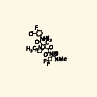 CNC(=O)C1(NC(=O)C(=O)c2c(C)c(C(=O)Nc3ccc(F)c(Cl)c3)n3c2CC[C@H]3C)CC(F)(F)C1